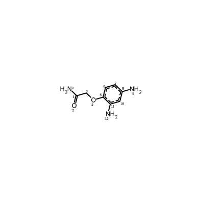 NC(=O)COc1ccc(N)cc1N